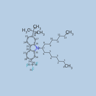 CCCCCCCC(CCCCCCC)n1c2cc(C(C)(C)C)ccc2c2ccc(C(F)(F)F)cc21